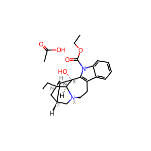 CC(=O)O.CCOC(=O)n1c2c(c3ccccc31)CC[N@@]1C[C@@H]3C[C@H](CC)[C@H]1[C@@]2(O)C3